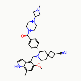 COc1cc(C)c2[nH]ccc2c1CN1CCC2(CC(C#N)C2)C[C@H]1c1ccc(C(=O)N2CCN(C3CN(C)C3)CC2)cc1